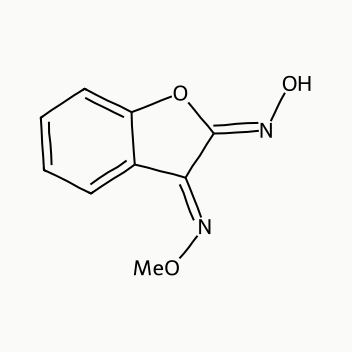 CO/N=C1/C(=N/O)Oc2ccccc21